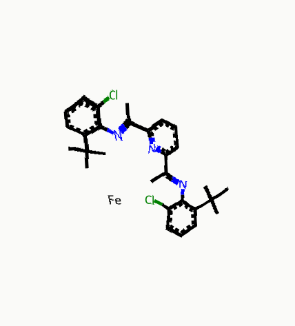 CC(=Nc1c(Cl)cccc1C(C)(C)C)c1cccc(C(C)=Nc2c(Cl)cccc2C(C)(C)C)n1.[Fe]